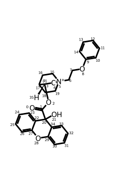 O=C(O[C@H]1C[N+]2(CCOc3ccccc3)CCC1CC2)C1(O)c2ccccc2Oc2ccccc21